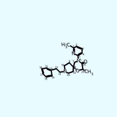 Cc1cccc(N2CC3(CCN(CCc4ccccc4)CC3)OC(C)C2=O)n1